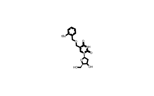 CC(C)(C)c1ccccc1COCc1cn([C@H]2CC(O)[C@@H](CO)O2)c(=O)[nH]c1=O